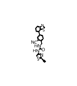 C#Cc1nc(NC(=O)NCc2ccc(-c3cccc4ncsc34)cc2C#N)cs1